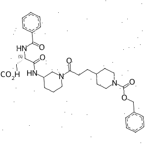 O=C(O)C[C@H](NC(=O)c1ccccc1)C(=O)NC1CCCN(C(=O)CCC2CCN(C(=O)OCc3ccccc3)CC2)C1